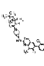 Cn1c(=O)c(-c2ccccc2Cl)cc2cnc(NC3C4CN(C(=O)NC(C)(C)CC(C)(C)C)CC43)nc21